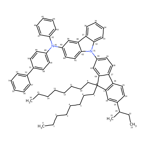 CCCCCCCCC1(CCCCCCCC)c2cc(C(C)CC)ccc2-c2ccc(-n3c4ccccc4c4cc(N(c5ccccc5)c5ccc(-c6ccccc6)cc5)ccc43)cc21